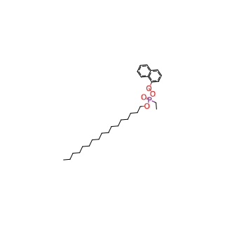 CCCCCCCCCCCCCCCCCOP(=O)(CC)OOc1cccc2ccccc12